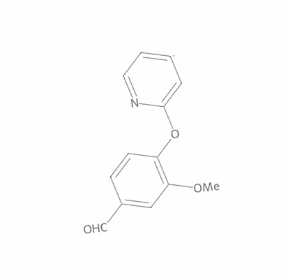 COc1cc(C=O)ccc1Oc1c[c]ccn1